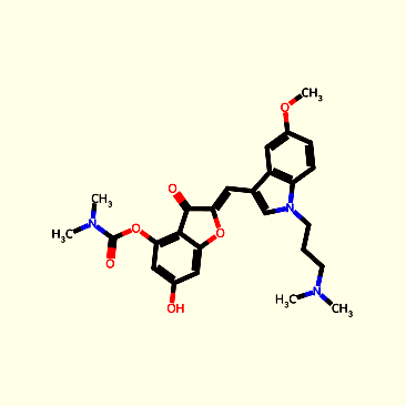 COc1ccc2c(c1)c(/C=C1\Oc3cc(O)cc(OC(=O)N(C)C)c3C1=O)cn2CCCN(C)C